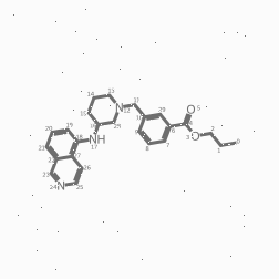 CCCOC(=O)c1cccc(CN2CCCC(Nc3cccc4cnccc34)C2)c1